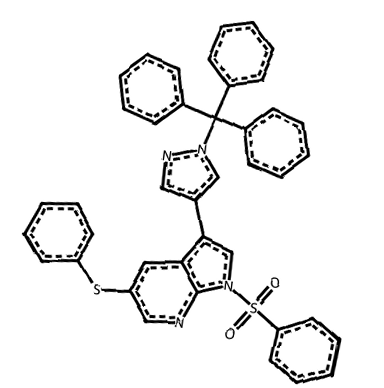 O=S(=O)(c1ccccc1)n1cc(-c2cnn(C(c3ccccc3)(c3ccccc3)c3ccccc3)c2)c2cc(Sc3ccccc3)cnc21